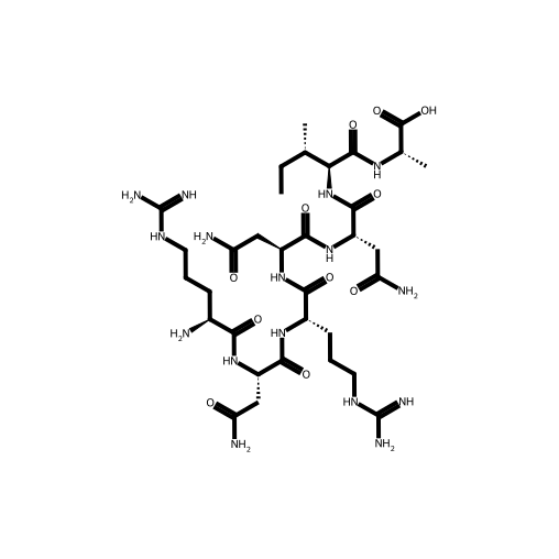 CC[C@H](C)[C@H](NC(=O)[C@H](CC(N)=O)NC(=O)[C@H](CC(N)=O)NC(=O)[C@H](CCCNC(=N)N)NC(=O)[C@H](CC(N)=O)NC(=O)[C@@H](N)CCCNC(=N)N)C(=O)N[C@@H](C)C(=O)O